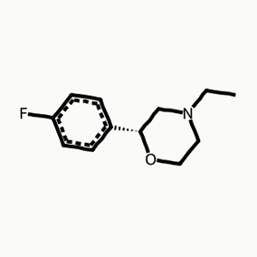 CCN1CCO[C@H](c2ccc(F)cc2)C1